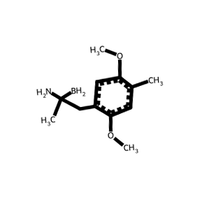 BC(C)(N)Cc1cc(OC)c(C)cc1OC